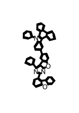 c1ccc(-c2nc(-c3cccc4oc5ccccc5c34)nc3oc4ccc(-c5ccc6c(c5)c5c7ccccc7c7ccccc7c5n6-c5ccccc5)cc4c23)cc1